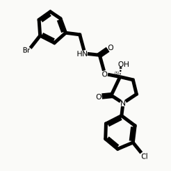 O=C(NCc1cccc(Br)c1)O[C@@]1(O)CCN(c2cccc(Cl)c2)C1=O